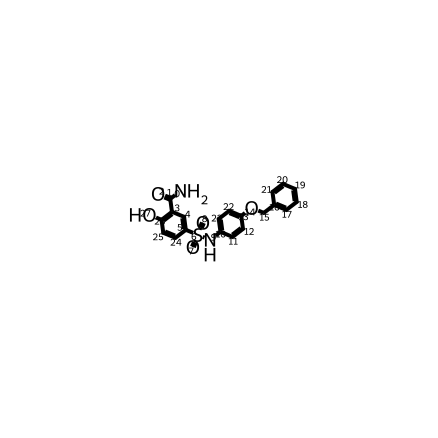 NC(=O)c1cc(S(=O)(=O)Nc2ccc(OCc3ccccc3)cc2)ccc1O